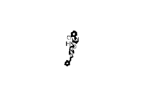 O=C(CN1CCN(CCCc2ccccc2)CC1)Nc1ccnc(-c2ccccc2Cl)n1